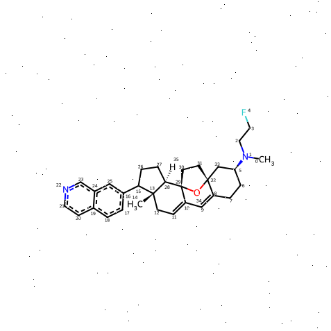 CN(CCF)[C@H]1CCC2=CC3=CC[C@]4(C)C(c5ccc6ccncc6c5)CC[C@H]4[C@@]34CC[C@]2(C1)O4